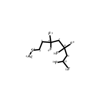 CC(=O)SCCC(F)(F)CC(F)(F)CC(F)F